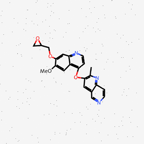 COc1cc2c(Oc3cc4cnccc4nc3C)ccnc2cc1OCC1CO1